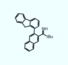 CC(C)(C)C(=N)c1cc2ccccc2cc1-c1cccc2c1Cc1ccccc1-2